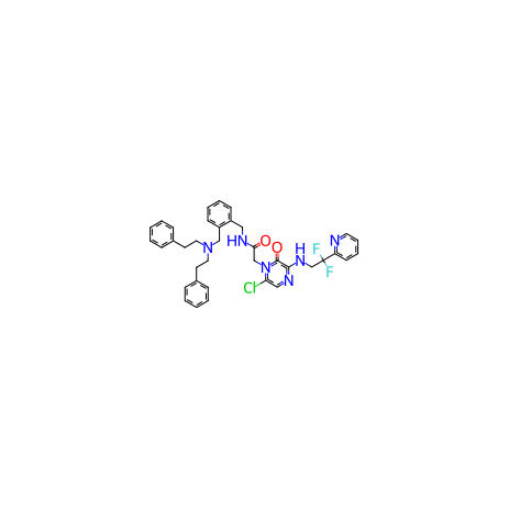 O=C(Cn1c(Cl)cnc(NCC(F)(F)c2ccccn2)c1=O)NCc1ccccc1CN(CCc1ccccc1)CCc1ccccc1